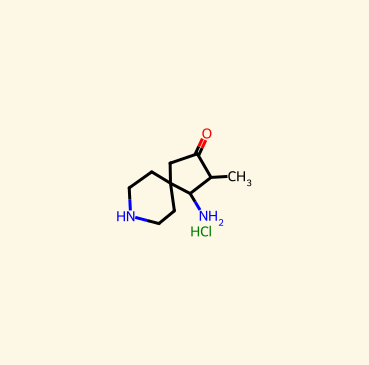 CC1C(=O)CC2(CCNCC2)C1N.Cl